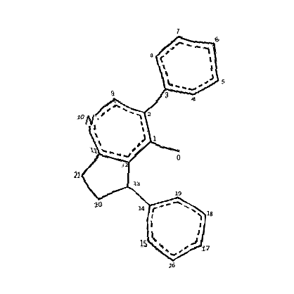 Cc1c(-c2ccccc2)[c]nc2c1C(c1ccccc1)CC2